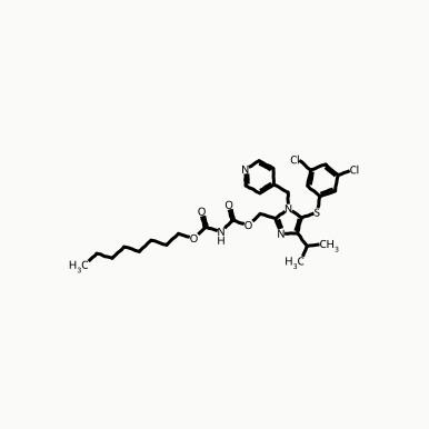 CCCCCCCCOC(=O)NC(=O)OCc1nc(C(C)C)c(Sc2cc(Cl)cc(Cl)c2)n1Cc1ccncc1